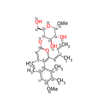 C=CC(C)=CC=C(C(C)=CC(=O)O[C@H]1[C@H](O)[C@@H](O)[C@@H](OC)O[C@@H]1CO)c1c(C)cc(OC)c(C)c1C